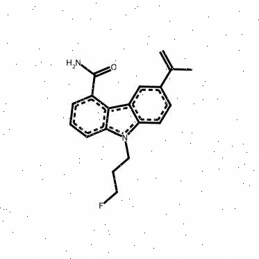 C=C(C)c1ccc2c(c1)c1c(C(N)=O)cccc1n2CCCF